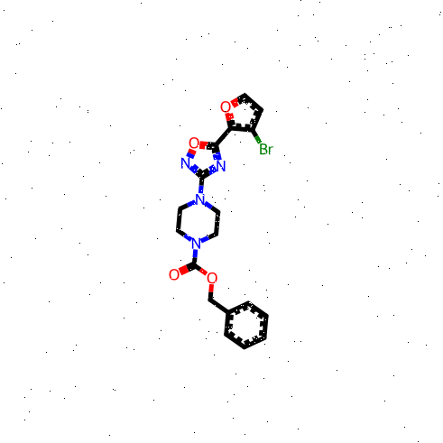 O=C(OCc1ccccc1)N1CCN(c2noc(-c3occc3Br)n2)CC1